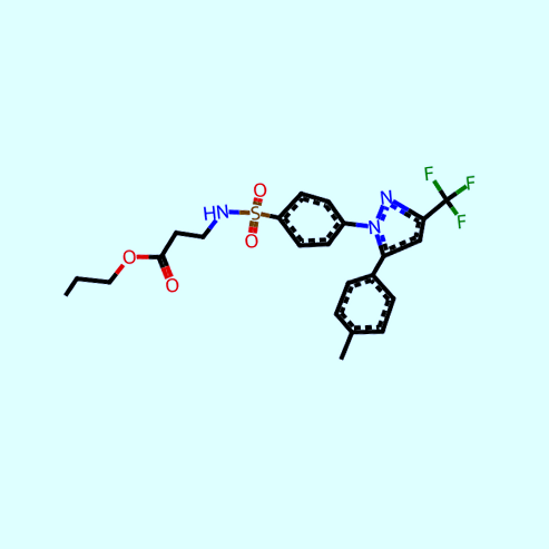 CCCOC(=O)CCNS(=O)(=O)c1ccc(-n2nc(C(F)(F)F)cc2-c2ccc(C)cc2)cc1